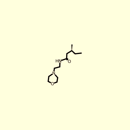 C[CH][C@H](C)CC(=O)NCCN1CCOCC1